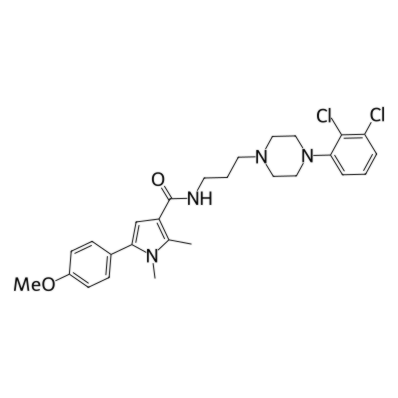 COc1ccc(-c2cc(C(=O)NCCCN3CCN(c4cccc(Cl)c4Cl)CC3)c(C)n2C)cc1